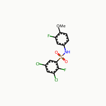 COc1ccc(NS(=O)(=O)c2cc(Cl)cc(Cl)c2F)cc1F